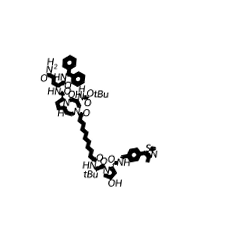 Cc1ncsc1-c1ccc(CNC(=O)[C@@H]2C[C@@H](O)CN2C(=O)[C@@H](NC(=O)CCCCCCCCCC(=O)N2CC[C@H]3CC[C@@H](C(=O)NC(CCC(N)=O)C(=O)NC(c4ccccc4)c4ccccc4)N3C(O)[C@@H](NC(=O)OC(C)(C)C)C2)C(C)(C)C)cc1